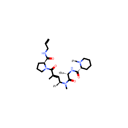 C=CCNC(=O)[C@@H]1CCCN1C(=O)/C(C)=C/[C@H](C(C)C)N(C)C(=O)[C@@H](NC(=O)[C@H]1CCCCN1C(C)C)C(C)(C)C